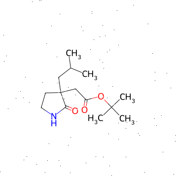 CC(C)CC1(CC(=O)OC(C)(C)C)CCNC1=O